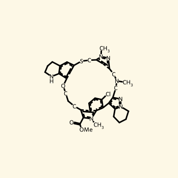 COC(=O)c1c2c3ccc(Cl)c(c3n1C)-c1c(nn3c1CCCC3)CN(C)Cc1cc(n(C)n1)CSc1cc3c(c(c1)OCCC2)NCCC3